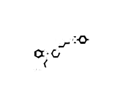 COCCCn1c([C@@H]2CCCN(C(=O)C[C@@H](N)CNS(=O)(=O)c3ccc(Cl)cc3)C2)nc2ccccc21